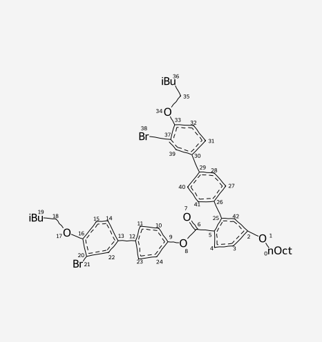 CCCCCCCCOc1ccc(C(=O)Oc2ccc(-c3ccc(OCC(C)CC)c(Br)c3)cc2)c(-c2ccc(-c3ccc(OCC(C)CC)c(Br)c3)cc2)c1